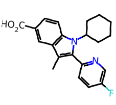 Cc1c(-c2ccc(F)cn2)n(C2CCCCC2)c2ccc(C(=O)O)cc12